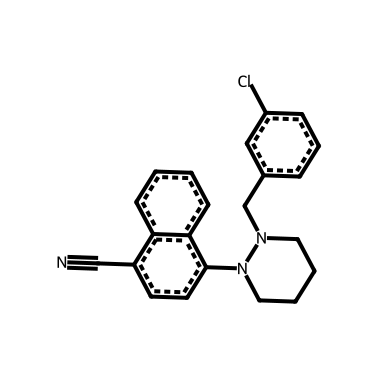 N#Cc1ccc(N2CCCCN2Cc2cccc(Cl)c2)c2ccccc12